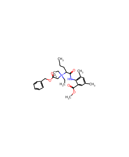 CCCC(C(=O)Nc1c(C)cc(C)cc1C(=O)OC)[N+](CC)(CC)CC(=O)OCc1ccccc1